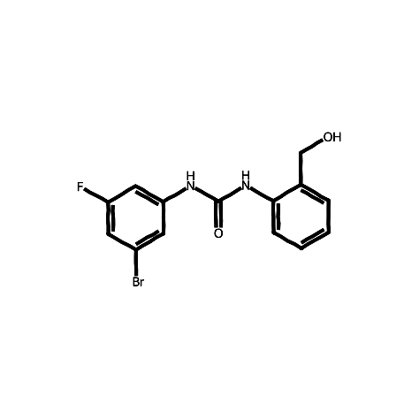 O=C(Nc1cc(F)cc(Br)c1)Nc1ccccc1CO